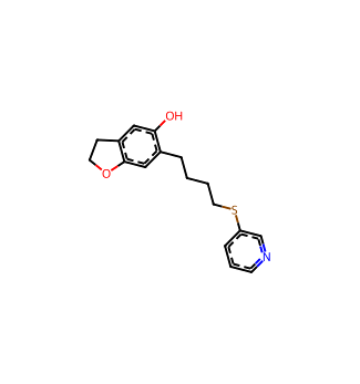 Oc1cc2c(cc1CCCCSc1cccnc1)OCC2